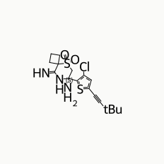 CC(C)(C)C#Cc1cc(Cl)c([C@]2(N)CS(=O)(=O)C3(CCC3)C(=N)N2)s1